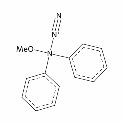 CO[N+]([N+]#N)(c1ccccc1)c1ccccc1